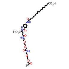 CC(C)C(=O)COCCOCCNC(=O)COCCOCCNC(=O)CC[C@H](NC(=O)[C@H]1CC[C@H](CNC(=O)CCCCCCCCCCCCCCCCC(=O)O)CC1)C(=O)O